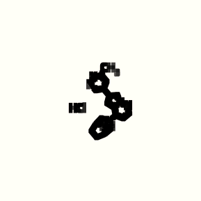 Cc1cc(-c2cc3c(N4CC5CCC(C4)N5)ccnn3c2)cnn1.Cl